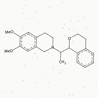 COc1cc2c(cc1OC)CN(C(C)C1OCCc3ccccc31)CC2